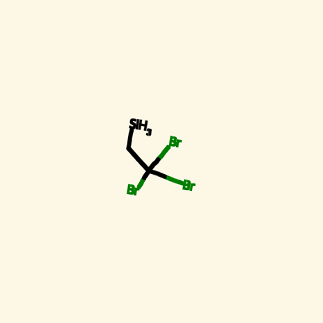 [SiH3]CC(Br)(Br)Br